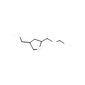 CCOCC1CC(CC)CN1